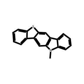 Cn1c2ccccc2c2cc3sc4ccccc4c3cc21